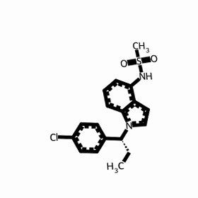 CC[C@H](c1ccc(Cl)cc1)n1ccc2c(NS(C)(=O)=O)cccc21